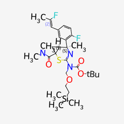 C/C(F)=C/c1ccc(F)c([C@@]2(C)N=C(N(COCC[Si](C)(C)C)C(=O)OC(C)(C)C)SC3(C(=O)N(C)C)C[C@H]32)c1